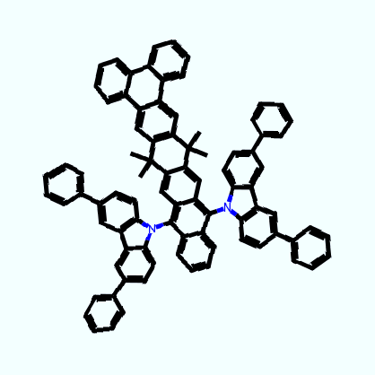 CC1(C)c2cc3c(-n4c5ccc(-c6ccccc6)cc5c5cc(-c6ccccc6)ccc54)c4ccccc4c(-n4c5ccc(-c6ccccc6)cc5c5cc(-c6ccccc6)ccc54)c3cc2C(C)(C)c2cc3c4ccccc4c4ccccc4c3cc21